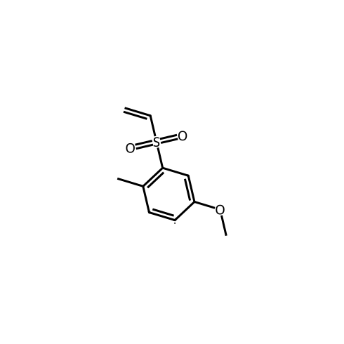 C=CS(=O)(=O)c1cc(OC)[c]cc1C